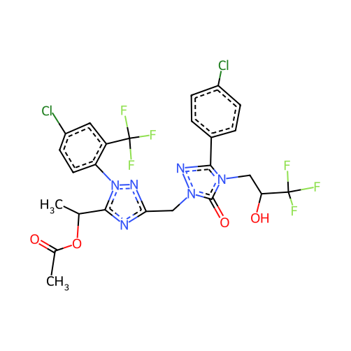 CC(=O)OC(C)c1nc(Cn2nc(-c3ccc(Cl)cc3)n(CC(O)C(F)(F)F)c2=O)nn1-c1ccc(Cl)cc1C(F)(F)F